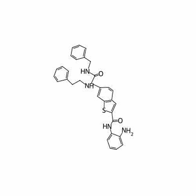 Nc1ccccc1NC(=O)c1cc2ccc(C(NCCc3ccccc3)C(=O)NCc3ccccc3)cc2s1